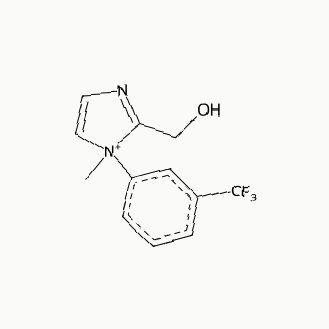 C[N+]1(c2cccc(C(F)(F)F)c2)C=CN=C1CO